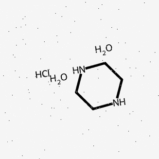 C1CNCCN1.Cl.O.O